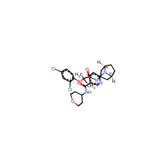 CC(C)(Oc1ccc(Cl)cc1Cl)C(=O)N[C@H]1C[C@H]2CC[C@@H](C1)N2c1ccc(C(=O)NC2CCOCC2)cn1